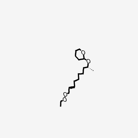 CCOOC/C=C/CCCCC[C@@H](C)OC1CCCCO1